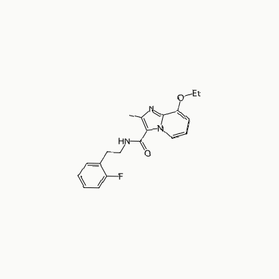 CCOc1cccn2c(C(=O)NCCc3ccccc3F)c(C)nc12